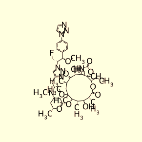 CC[C@H]1OC(=O)[C@H](C)[C@@H](O)[C@H](C)[C@@H](O[C@H]2C[C@@H](N(C)CCc3cn([C@H](CF)[C@H](OC)c4ccc(-n5ccnn5)cc4)nn3)C[C@@H](C)O2)[C@](C)(OC)C[C@@H](C)C(=O)[C@H](C)[C@H]2NC(=O)O[C@@]21C